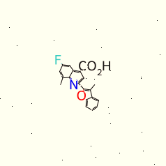 Cc1c(-c2cc(C(=O)O)c3cc(F)cc(C)c3n2)oc2ccccc12